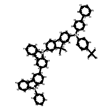 CC(C)(C)c1ccc(N(c2ccc(-c3ccccc3)cc2)c2ccc3c(c2)C(C)(C)c2cc(-n4c5ccccc5c5cc(-c6ccc7c(c6)c6ccccc6n7-c6ccccc6)ccc54)ccc2-3)cc1